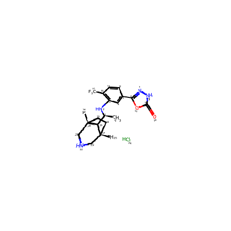 C[C@H](Nc1cc(-c2n[nH]c(=O)o2)ccc1C(F)(F)F)C1[C@@H]2CC[C@H]1CNC2.Cl